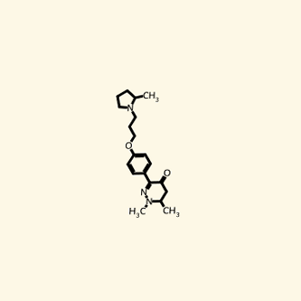 CC1CCCN1CCCOc1ccc(C2=NN(C)C(C)CC2=O)cc1